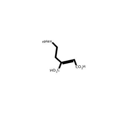 CCCCCCCCC(=CC(=O)O)C(=O)O